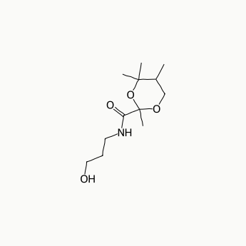 CC1COC(C)(C(=O)NCCCO)OC1(C)C